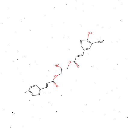 COc1cc(/C=C/C(=O)OCC(O)COC(=O)/C=C/c2ccc(C)cc2)ccc1O